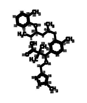 CC[C@H](CN(C)Cc1cc([C@@H](OCc2cn(C)nn2)C(C)(C)C(=O)O)ccc1C)Oc1ccccc1C